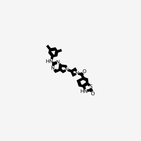 Cc1cc(C)cc(Nc2ncc3c(n2)CN(C2CN(C(=O)c4ccc5[nH]c(=O)sc5c4)C2)C3)c1